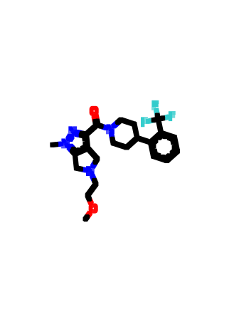 COCCN1Cc2c(C(=O)N3CCC(c4ccccc4C(F)(F)F)CC3)nn(C)c2C1